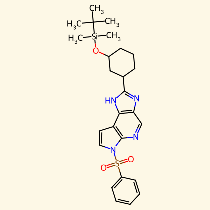 CC(C)(C)[Si](C)(C)OC1CCCC(c2nc3cnc4c(ccn4S(=O)(=O)c4ccccc4)c3[nH]2)C1